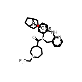 COC1CC2CCC(C1)N2c1ccc2c(c1)N(C(=O)C1CCCN(CC(F)(F)F)CC1)Cc1cccnc1N2